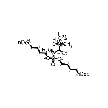 CCCCCCCCCCCCCCOP(=O)(OCCCCCCCCCCCCCC)N(C)C(CC)[N+](C)(C)C.[I-]